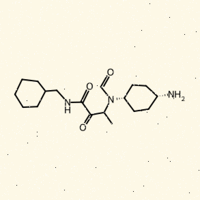 CC(C(=O)C(=O)NCC1CCCCC1)N(C=O)[C@H]1CC[C@@H](N)CC1